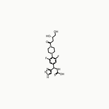 O=C(C[C@H](O)CO)N1CCN(c2c(F)cc(C(NC(O)=S)c3c[nH]nn3)cc2F)CC1